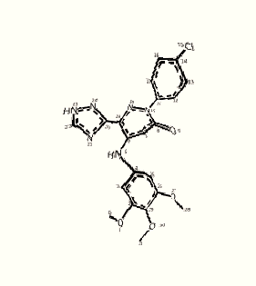 COc1cc(Nc2cc(=O)n(-c3ccc(Cl)cc3)nc2-c2nc[nH]n2)cc(OC)c1OC